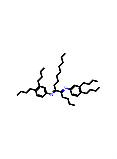 CCCCCCCCC(=Nc1ccc(CCCC)c(CCCC)c1)C(CCCC)=Nc1ccc(CCCC)c(CCCC)c1